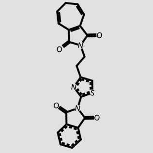 O=C1C2=C(C=CCC=C2)C(=O)N1CCc1csc(N2C(=O)c3ccccc3C2=O)n1